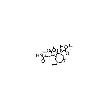 C=CC1CN([C@@H](C[C@@H]2CCNC2=O)C(=O)OC)C(=O)[C@@H](NC(=O)OC(C)(C)C)CC(C)(C)C1